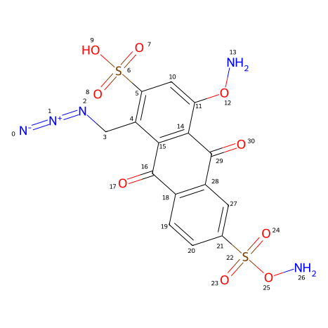 [N-]=[N+]=NCc1c(S(=O)(=O)O)cc(ON)c2c1C(=O)c1ccc(S(=O)(=O)ON)cc1C2=O